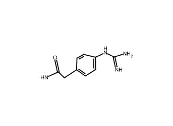 [NH]C(=O)Cc1ccc(NC(=N)N)cc1